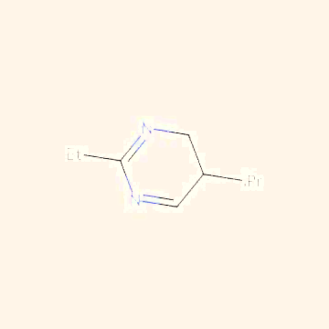 CCC1=NCC(C(C)C)C=N1